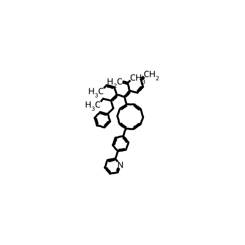 C=C/C=C\C(C(=C)C)=C(/C1=CC/C=C(c2ccc(-c3ccccn3)cc2)\C=C/C/C=C\1)C(/C=C\C)=C(CC)Cc1ccccc1